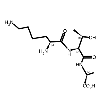 C[C@H](NC(=O)[C@@H](NC(=O)[C@@H](N)CCCCN)[C@@H](C)O)C(=O)O